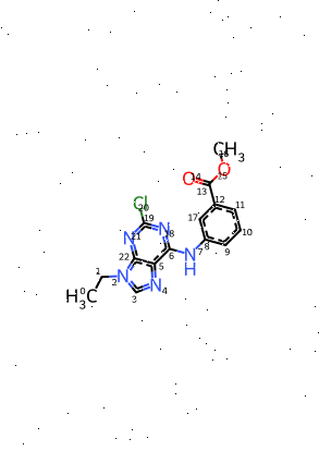 CCn1cnc2c(Nc3cccc(C(=O)OC)c3)nc(Cl)nc21